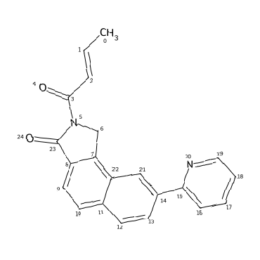 C/C=C/C(=O)N1Cc2c(ccc3ccc(-c4ccccn4)cc23)C1=O